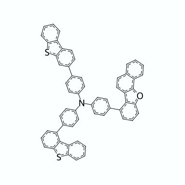 c1ccc2c(c1)ccc1c2oc2cccc(-c3ccc(N(c4ccc(-c5ccc6c(c5)sc5ccccc56)cc4)c4ccc(-c5cccc6sc7ccccc7c56)cc4)cc3)c21